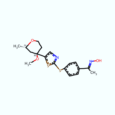 CO[C@]1(c2cnc(Sc3ccc(C(C)=NO)cc3)s2)CCO[C@@H](C)C1